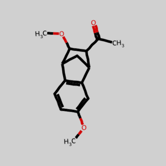 COc1ccc2c(c1)C1CC2C(OC)C1C(C)=O